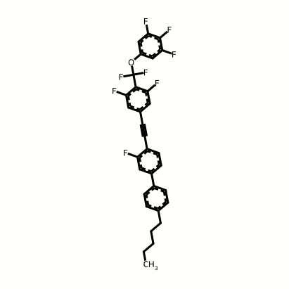 CCCCCc1ccc(-c2ccc(C#Cc3cc(F)c(C(F)(F)Oc4cc(F)c(F)c(F)c4)c(F)c3)c(F)c2)cc1